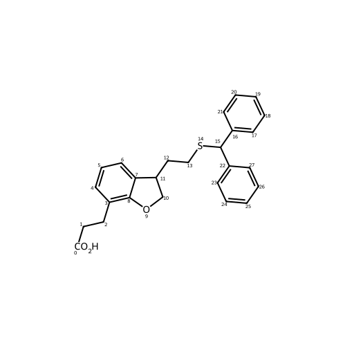 O=C(O)CCc1cccc2c1OCC2CCSC(c1ccccc1)c1ccccc1